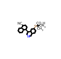 CC(C)(Sc1ccc2cncc(-c3ccc(C#N)c4ccccc34)c2c1)C(=O)O